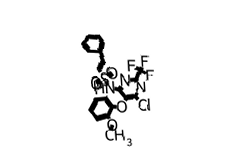 COc1ccccc1Oc1c(Cl)nc(C(F)(F)F)nc1NS(=O)(=O)C=Cc1ccccc1